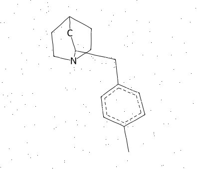 Cc1ccc(CC2CC3CCN2CC3)cc1